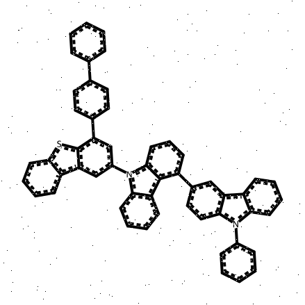 c1ccc(-c2ccc(-c3cc(-n4c5ccccc5c5c(-c6ccc7c(c6)c6ccccc6n7-c6ccccc6)cccc54)cc4c3sc3ccccc34)cc2)cc1